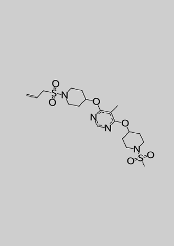 C=CCS(=O)(=O)N1CCC(Oc2ncnc(OC3CCN(S(C)(=O)=O)CC3)c2C)CC1